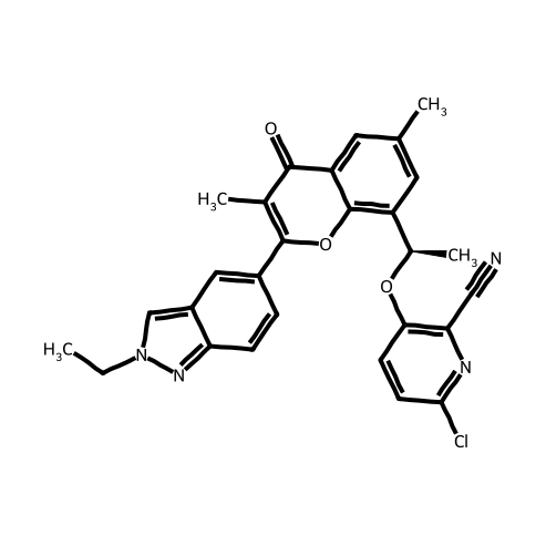 CCn1cc2cc(-c3oc4c([C@@H](C)Oc5ccc(Cl)nc5C#N)cc(C)cc4c(=O)c3C)ccc2n1